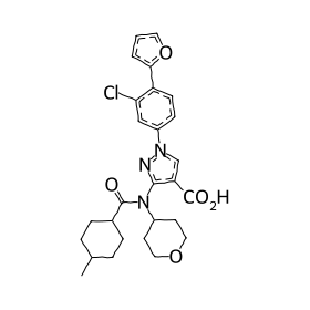 CC1CCC(C(=O)N(c2nn(-c3ccc(-c4ccco4)c(Cl)c3)cc2C(=O)O)C2CCOCC2)CC1